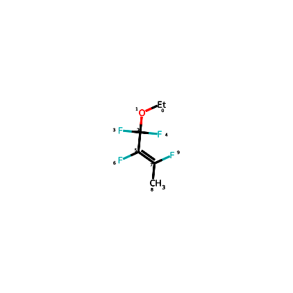 CCOC(F)(F)/C(F)=C(/C)F